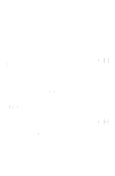 C=CCS(=O)(=O)CCCC.Cc1ccc(C)cc1